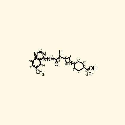 CC(C)[C@@H](O)C1CCC(N2CC(NC(=O)CNc3ncnc4ccc(C(F)(F)F)cc34)C2)CC1